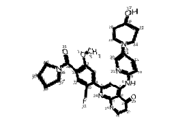 COc1cc(-c2cc(Nc3ccc(N4CCC(O)CC4)cn3)c3c(n2)N=CCC3=O)c(F)cc1C(=O)N1CCCC1